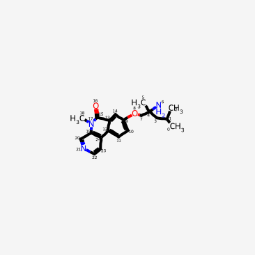 CC(C)CC(C)(N)COc1ccc2c(c1)c(=O)n(C)c1cnccc21